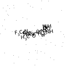 CC(=N)c1c(NCCOCCC(=O)N2CCN(c3ncc(C(F)(F)F)cn3)C(C)C2)cn[nH]c1=O